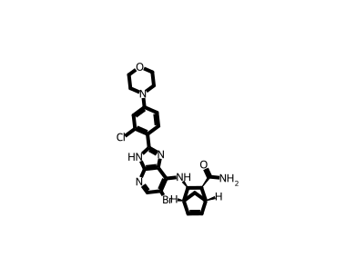 NC(=O)[C@@H]1[C@H](Nc2c(Br)cnc3[nH]c(-c4ccc(N5CCOCC5)cc4Cl)nc23)[C@H]2C=C[C@@H]1C2